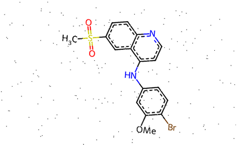 COc1cc(Nc2ccnc3ccc(S(C)(=O)=O)cc23)ccc1Br